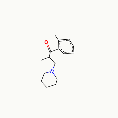 Cc1ccccc1C(=O)C(C)CN1CCCCC1